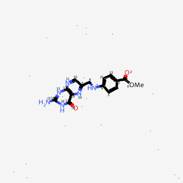 COC(=O)c1ccc(NCc2cnc3nc(N)[nH]c(=O)c3n2)cc1